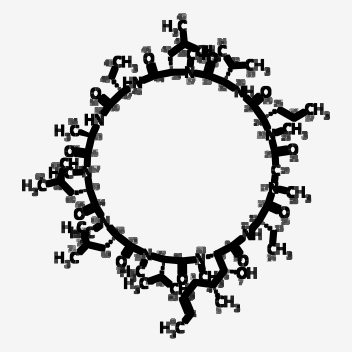 C/C=C/C[C@@H](C)[C@@H](O)[C@H]1C(=O)N[C@@H](CC)C(=O)N(C)CC(=O)N(C)[C@@H](CCC)C(=O)N[C@@H](C(C)C)C(=O)N(C)[C@@H](CC(C)C)C(=O)N[C@@H](CC)C(=O)N[C@H](C)C(=O)N(C)[C@@H](CC(C)C)C(=O)N(C)[C@@H](CC(C)C)C(=O)N(C)[C@@H](C(C)C)C(=O)N1C